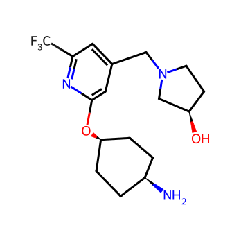 N[C@H]1CC[C@@H](Oc2cc(CN3CC[C@@H](O)C3)cc(C(F)(F)F)n2)CC1